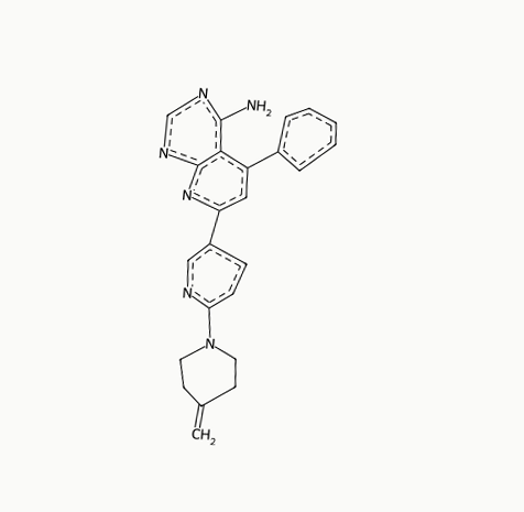 C=C1CCN(c2ccc(-c3cc(-c4ccccc4)c4c(N)ncnc4n3)cn2)CC1